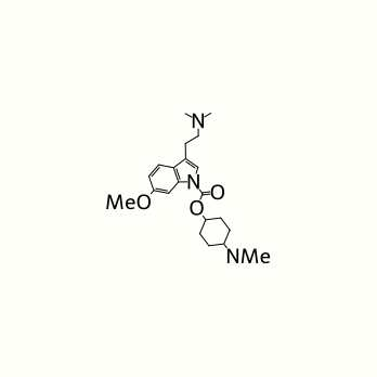 CNC1CCC(OC(=O)n2cc(CCN(C)C)c3ccc(OC)cc32)CC1